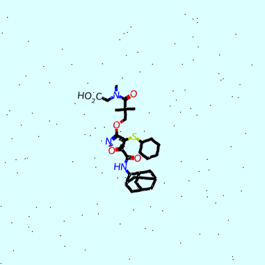 CN(CC(=O)O)C(=O)C(C)(C)COc1noc(C(=O)NC2C3CC4CC(C3)CC2C4)c1SC1CCCCC1